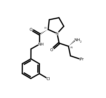 CC(C)C[C@@H](N)C(=O)N1CCC[C@H]1C(=O)NCc1cccc(Cl)c1